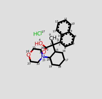 CC(C(=O)O)(c1cccc2ccccc12)C1CCCCC1N1CCOCC1.Cl